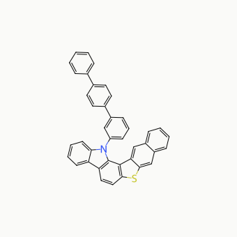 c1ccc(-c2ccc(-c3cccc(-n4c5ccccc5c5ccc6sc7cc8ccccc8cc7c6c54)c3)cc2)cc1